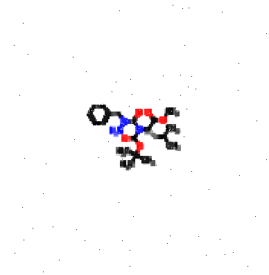 COC(=O)[C@H](CC(C)C)N(C(=O)OC(C)(C)C)C(=O)N(N)Cc1ccccc1